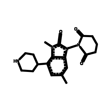 Cc1cc(C2CCNCC2)c2c(c1)n(N1C(=O)CCCC1=O)c(=O)n2C